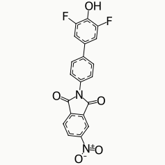 O=C1c2ccc([N+](=O)[O-])cc2C(=O)N1c1ccc(-c2cc(F)c(O)c(F)c2)cc1